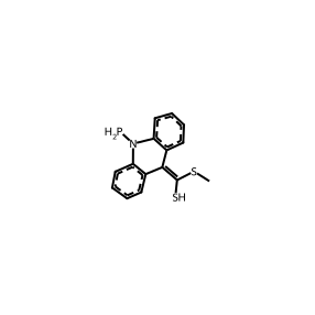 CSC(S)=C1c2ccccc2N(P)c2ccccc21